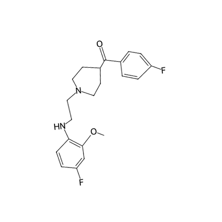 COc1cc(F)ccc1NCCN1CCC(C(=O)c2ccc(F)cc2)CC1